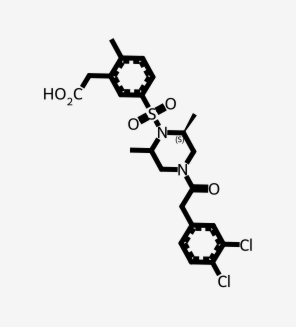 Cc1ccc(S(=O)(=O)N2C(C)CN(C(=O)Cc3ccc(Cl)c(Cl)c3)C[C@@H]2C)cc1CC(=O)O